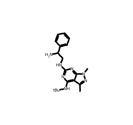 Cc1nn(C)c2nc(NCC(N)c3ccccc3)nc(NC(C)(C)C)c12